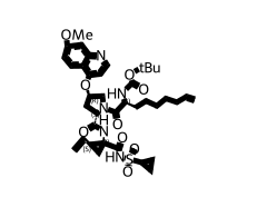 C=CCCCCC[C@H](NC(=O)OC(C)(C)C)C(=O)N1C[C@H](Oc2ccnc3cc(OC)ccc23)C[C@H]1C(=O)N[C@]1(C(=O)NS(=O)(=O)C2CC2)C[C@H]1C=C